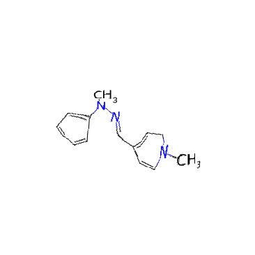 CN1C=CC(C=NN(C)c2ccccc2)=CC1